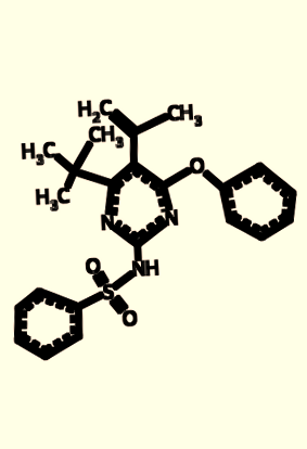 C=C(C)c1c(Oc2ccccc2)nc(NS(=O)(=O)c2ccccc2)nc1C(C)(C)C